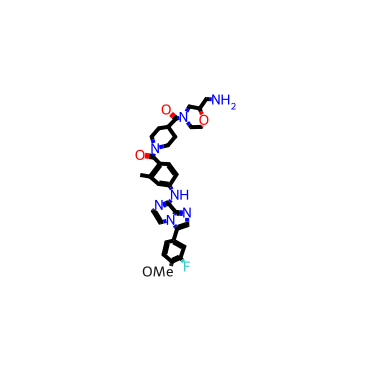 COc1ccc(-c2cnc3c(Nc4ccc(C(=O)N5CCC(C(=O)N6CCOC(CN)C6)CC5)c(C)c4)nccn23)cc1F